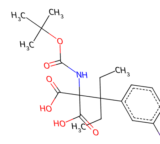 CCC(CC)(c1cccc(I)c1)C(NC(=O)OC(C)(C)C)(C(=O)O)C(=O)O